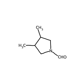 CC1CN(C=O)CC1C